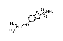 CN(C)CCOc1ccc2sc(S(N)(=O)=O)cc2c1